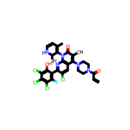 C=CC(=O)N1CCN(c2c(C#N)c(=O)n(C3=C(C)C=CNC3C(C)C)c3nc(-c4c(O)c(Cl)c(Cl)c(Cl)c4F)c(Cl)cc23)CC1